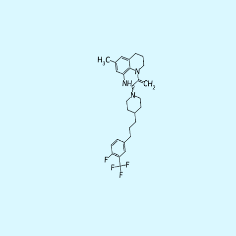 C=C(CN1CCC(CCCc2ccc(F)c(C(F)(F)F)c2)CC1)N1CCCc2cc(C)cc(N)c21